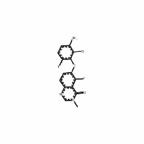 Cn1cnc2ccc(Oc3c(F)ccc(N)c3Cl)c(F)c2c1=O